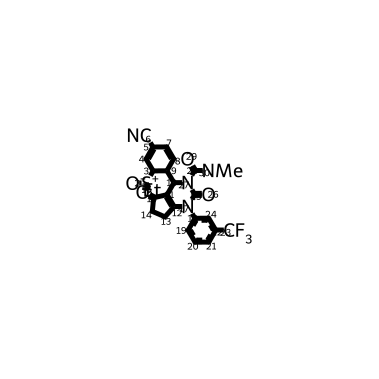 CC[S+]([O-])C1C=C(C#N)C=CC1C1C2=C(CCC2=O)N(c2cccc(C(F)(F)F)c2)C(=O)N1C(=O)NC